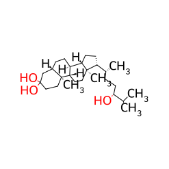 CC(C)[C@H](O)CC[C@@H](C)[C@H]1CC[C@H]2[C@@H]3CC[C@H]4CC(O)(O)CC[C@]4(C)[C@H]3CC[C@]12C